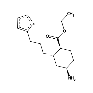 CCOC(=O)[C@H]1CC[C@@H](N)C[C@@H]1CCCc1cccs1